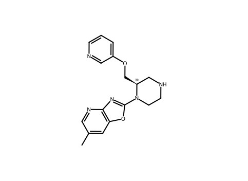 Cc1cnc2nc(N3CCNC[C@@H]3COc3cccnc3)oc2c1